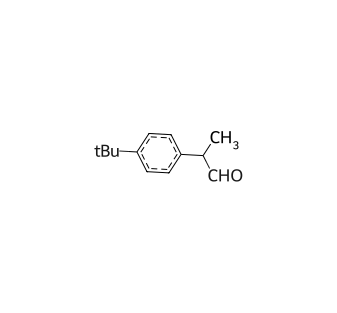 CC(C=O)c1ccc(C(C)(C)C)cc1